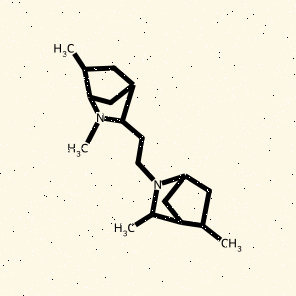 CC1CC2CC1C(C)N2CCC1C2CC(C)C(C2)N1C